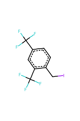 FC(F)(F)c1ccc(CI)c(C(F)(F)F)c1